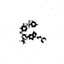 CCN(CC)CCn1ccc2cc(-c3cc(Nc4ccc(NS(=O)(=O)c5ccccc5F)cc4)ncn3)ccc21.O=CO